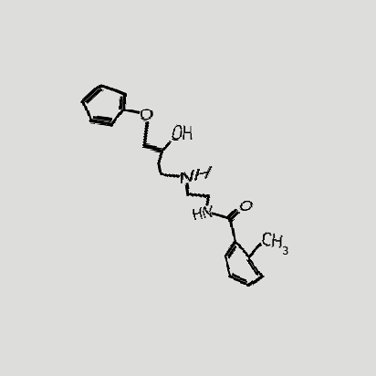 Cc1ccccc1C(=O)NCCNCC(O)COc1ccccc1